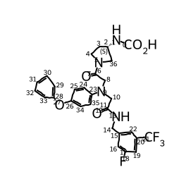 O=C(O)N[C@H]1CCN(C(=O)CN(CC(=O)NCc2cc(F)cc(C(F)(F)F)c2)c2ccc(Oc3ccccc3)cc2)C1